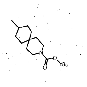 CC1CCC2(CC1)CCN(C(=O)OC(C)(C)C)CC2